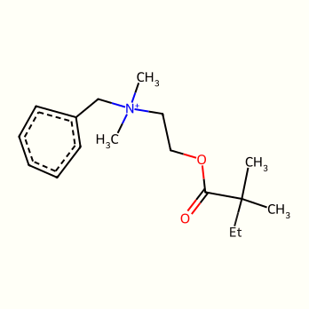 CCC(C)(C)C(=O)OCC[N+](C)(C)Cc1ccccc1